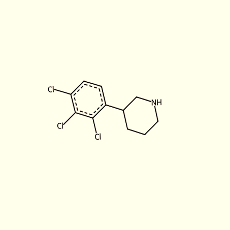 Clc1ccc(C2CCCNC2)c(Cl)c1Cl